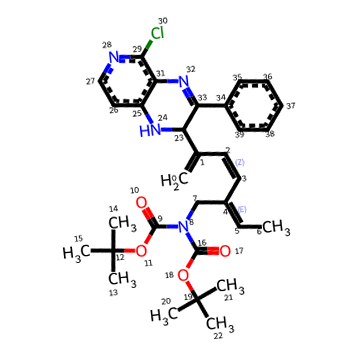 C=C(/C=C\C(=C/C)CN(C(=O)OC(C)(C)C)C(=O)OC(C)(C)C)C1Nc2ccnc(Cl)c2N=C1c1ccccc1